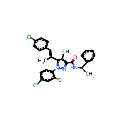 C/C(=C\c1ccc(Cl)cc1)c1c(C)c(C(=O)N[C@H](C)c2ccccc2)nn1-c1ccc(Cl)cc1Cl